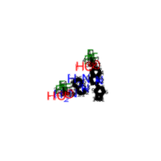 Nc1cc(-c2ccc3c(c2)CC3)nc2ccccc12.Nc1ccnc2ccccc12.O=C(O)C(F)(F)F.O=C(O)C(F)(F)F